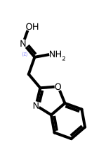 N/C(Cc1nc2ccccc2o1)=N\O